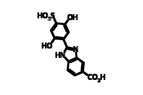 O=C(O)c1ccc2[nH]c(-c3cc(O)c(S(=O)(=O)O)cc3O)nc2c1